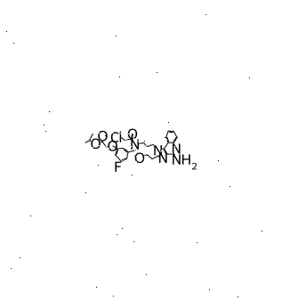 COCCc1nc2c(N)nc3ccccc3c2n1CCCN(Cc1cc(F)cc(OCC(=O)OC(C)C)c1)C(=O)CCl